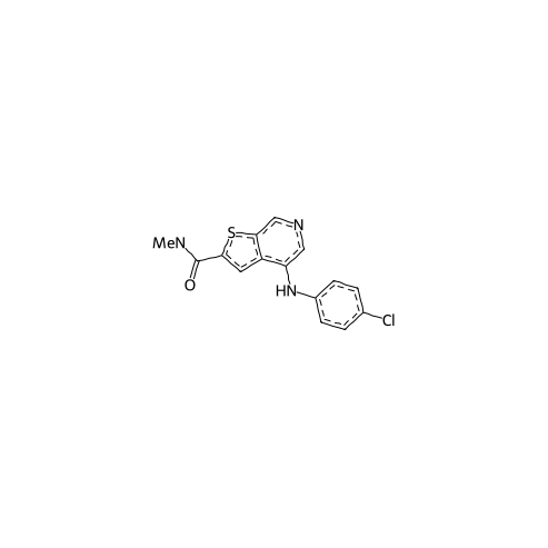 CNC(=O)c1cc2c(Nc3ccc(Cl)cc3)cncc2s1